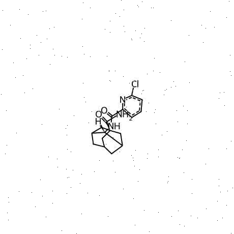 NC(=O)[C@]12CC3CC(C1)[C@@H](NC(=O)c1cccc(Cl)n1)C(C3)C2